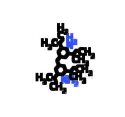 C=CC(C)C1CC(CC2CC(C(C)C=C)C(N)C(C(C)C=C)C2)CC(C(C)C=C)C1N